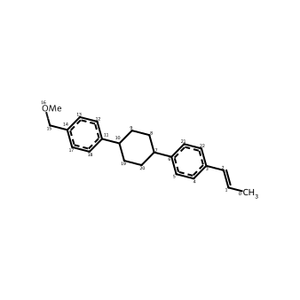 C/C=C/c1ccc(C2CCC(c3ccc(COC)cc3)CC2)cc1